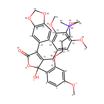 COc1ccc(C2(O)OC(=O)C(c3ccc4c(c3)OCO4)=C2Cc2cc(OC)c(OC)c(OC)c2)c(OCCCN(C)C)c1